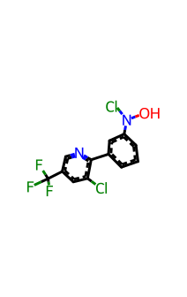 ON(Cl)c1cccc(-c2ncc(C(F)(F)F)cc2Cl)c1